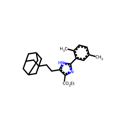 CCOC(=O)c1nc(-c2cc(C)ccc2C)[nH]c1CCC12CC3CC(CC(C3)C1)C2